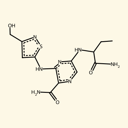 CCC(Nc1cnc(C(N)=O)c(Nc2cc(CO)ns2)n1)C(N)=O